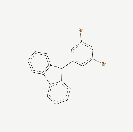 Brc1cc(Br)cc(C2c3ccccc3-c3ccccc32)c1